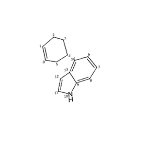 C1=CCCCC1.c1ccc2[nH]ccc2c1